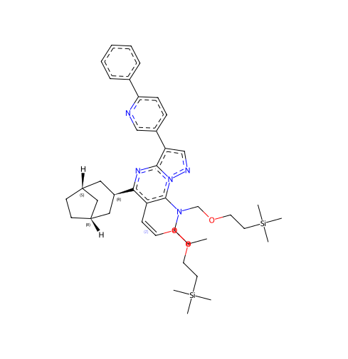 CCO/C=C\c1c([C@H]2C[C@@H]3CC[C@@H](C3)C2)nc2c(-c3ccc(-c4ccccc4)nc3)cnn2c1N(COCC[Si](C)(C)C)COCC[Si](C)(C)C